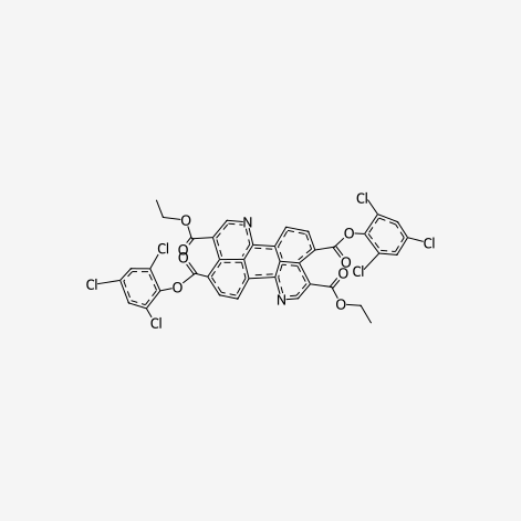 CCOC(=O)c1cnc2c3ccc(C(=O)Oc4c(Cl)cc(Cl)cc4Cl)c4c(C(=O)OCC)cnc(c5ccc(C(=O)Oc6c(Cl)cc(Cl)cc6Cl)c1c52)c43